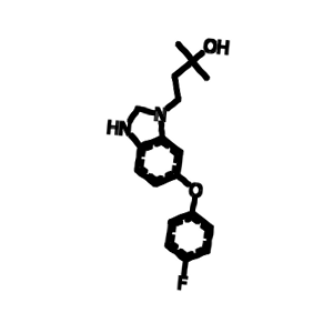 CC(C)(O)CCN1CNc2ccc(Oc3ccc(F)cc3)cc21